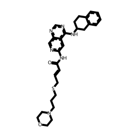 O=C(C=CCSCCCN1CCOCC1)Nc1cc2c(NC3CCc4ccccc4C3)ncnc2cn1